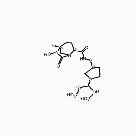 O=C(O)NC(NC(=O)O)N1CC[C@H](ONC(=O)[C@@H]2CC[C@@H]3CN2C(=O)N3O)C1